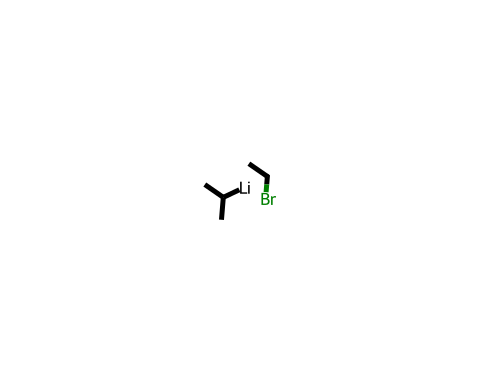 CCBr.[Li][CH](C)C